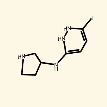 IC1=CC=C(NC2CCNC2)NN1